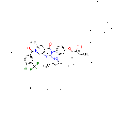 CC[C@H](O)COc1ccc(-n2c(-n3nc(C)cc3C)nc3c(c2=O)C[C@@H](C)N(C(=O)c2ccc(Br)c(C(F)(F)F)c2)C3)cc1